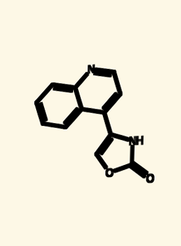 O=c1[nH]c(-c2ccnc3ccccc23)co1